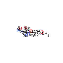 COc1ccc(-c2ccc(CN(C(=O)C3CCOCC3)c3cc(/C=C/c4ncco4)ccn3)cc2)cc1